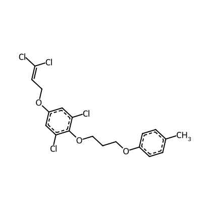 Cc1ccc(OCCCOc2c(Cl)cc(OCC=C(Cl)Cl)cc2Cl)cc1